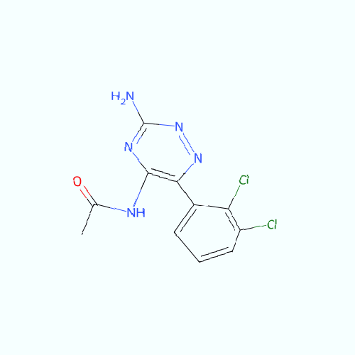 CC(=O)Nc1nc(N)nnc1-c1cccc(Cl)c1Cl